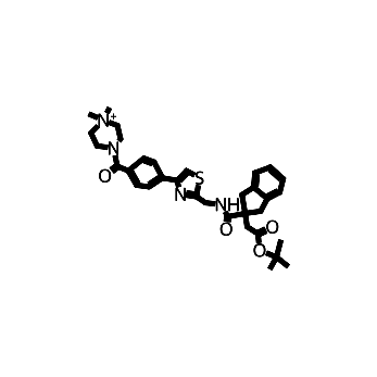 CC(C)(C)OC(=O)CC1(C(=O)NCc2nc(-c3ccc(C(=O)N4CC[N+](C)(C)CC4)cc3)cs2)Cc2ccccc2C1